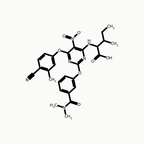 CCC(C)C(Nc1nc(Oc2cccc(C(=O)N(C)C)c2)nc(Oc2ccc(C#N)c(C)c2)c1[N+](=O)[O-])C(=O)O